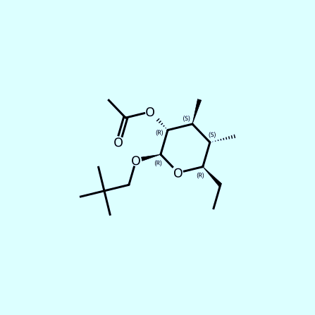 CC[C@H]1O[C@@H](OCC(C)(C)C)[C@H](OC(C)=O)[C@@H](C)[C@@H]1C